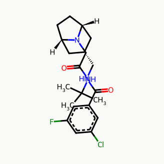 CC(C)(C)NC(=O)CN1[C@@H]2CC[C@H]1C[C@@H](CNC(=O)c1cc(F)cc(Cl)c1)C2